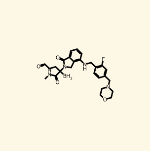 BC(CCC=O)(C(=O)NC)N1Cc2c(NCc3ccc(CN4CCOCC4)cc3F)cccc2C1=O